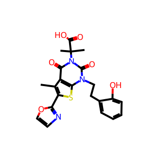 Cc1c(-c2ncco2)sc2c1c(=O)n(C(C)(C)C(=O)O)c(=O)n2CCc1ccccc1O